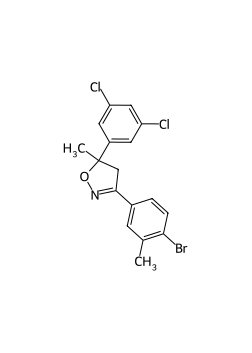 Cc1cc(C2=NOC(C)(c3cc(Cl)cc(Cl)c3)C2)ccc1Br